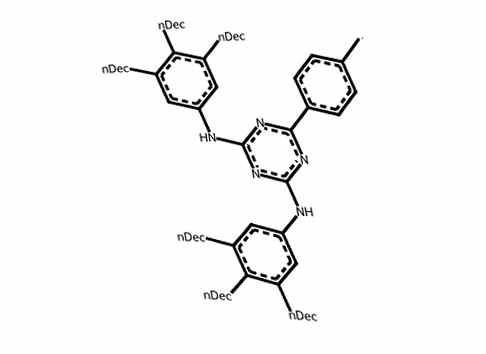 [CH2]c1ccc(-c2nc(Nc3cc(CCCCCCCCCC)c(CCCCCCCCCC)c(CCCCCCCCCC)c3)nc(Nc3cc(CCCCCCCCCC)c(CCCCCCCCCC)c(CCCCCCCCCC)c3)n2)cc1